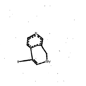 IC1=CNCc2cnccc21